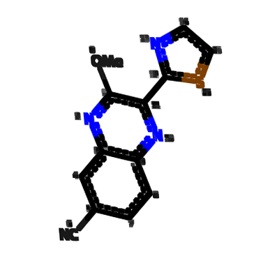 COc1nc2cc(C#N)ccc2nc1-c1nccs1